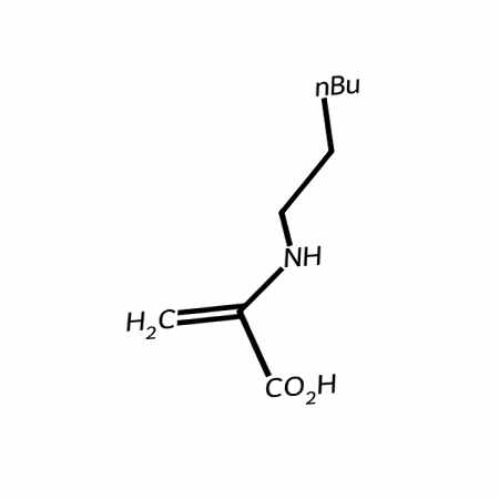 C=C(NCCCCCC)C(=O)O